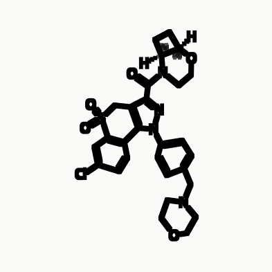 O=C(c1nn(-c2ccc(CN3CCOCC3)cc2)c2c1CS(=O)(=O)c1cc(Cl)ccc1-2)N1CCO[C@@H]2CC[C@@H]21